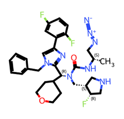 C[C@@H](CN=[N+]=[N-])NC(=O)N(C[C@@H]1CNC[C@@H]1F)[C@@H](c1nc(-c2cc(F)ccc2F)cn1Cc1ccccc1)C1CCOCC1